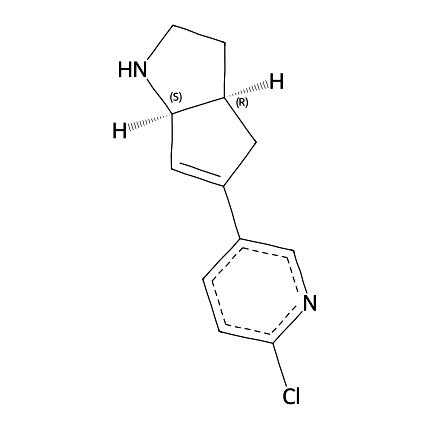 Clc1ccc(C2=C[C@H]3NCC[C@H]3C2)cn1